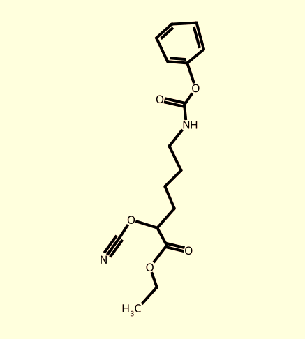 CCOC(=O)C(CCCCNC(=O)Oc1ccccc1)OC#N